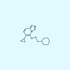 c1cc2cncn2c(OSCC2CCCCC2)c1C1CC1